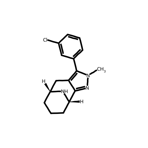 Cn1nc2c(c1-c1cccc(Cl)c1)C[C@H]1CCC[C@@H]2N1